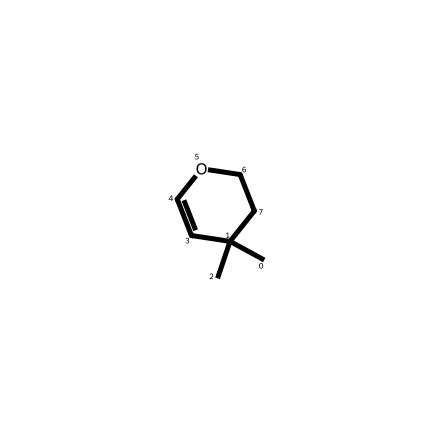 CC1(C)C=COCC1